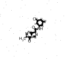 Cn1nnc2c(C(=O)Nc3cc(F)cc(Cl)c3)ncn2c1=O